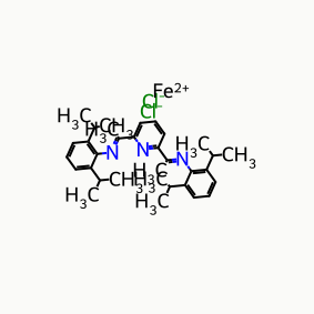 CC(=Nc1c(C(C)C)cccc1C(C)C)c1cccc(C(C)=Nc2c(C(C)C)cccc2C(C)C)n1.[Cl-].[Cl-].[Fe+2]